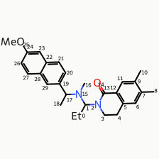 CCC(N1CCc2cc(C)c(C)cc2C1=O)N(C)C(C)c1ccc2cc(OC)ccc2c1